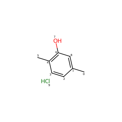 Cc1ccc(C)c(O)c1.Cl